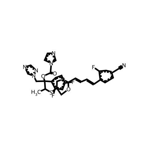 CC(SC1COC(C=CC=Cc2ccc(C#N)cc2F)OC1)C(Cn1cncn1)(OC(=O)n1ccnc1)c1ccc(F)cc1F